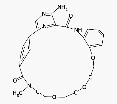 CN1CCOCCOCCOc2ccccc2NC(=O)c2nc(cnc2N)-c2ccc(cc2)C1=O